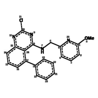 COc1cccc(CNc2nc(Cl)nc3cccc(-c4ccccc4)c23)n1